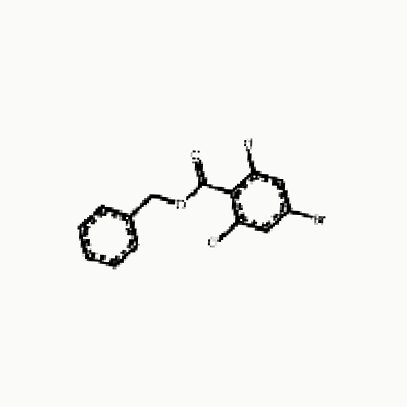 O=C(OCc1ccccc1)c1c(Cl)cc(Br)cc1Cl